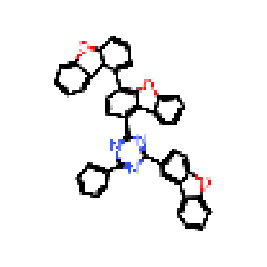 C1=CC2Oc3ccccc3C2C(c2ccc(-c3nc(-c4ccccc4)nc(-c4ccc5oc6ccccc6c5c4)n3)c3c2oc2ccccc23)=C1